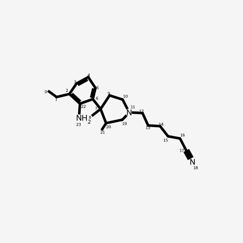 CCc1cccc(C2(C)CCN(CCCCCC#N)CC2C)c1N